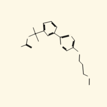 COCCCOc1cnc(-c2cccc(C(C)(C)NC(=O)O)c2)nc1